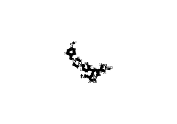 CSc1ccc(CN2CCN(c3ccc(-c4cc(-c5cnn(C)c5)cn5ncc(C#N)c45)cn3)CC2)cc1